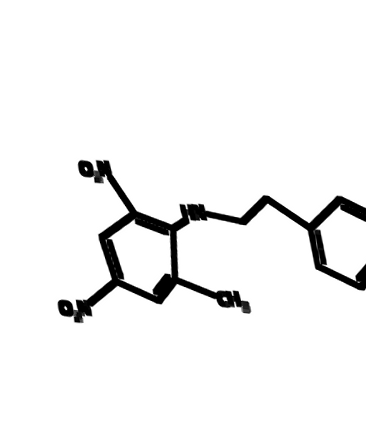 Cc1cc([N+](=O)[O-])cc([N+](=O)[O-])c1NCCc1ccccc1